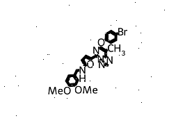 COc1ccc(CNc2ccc(-c3nc(Oc4ccc(Br)cc4)c(C)c4ncnn34)o2)cc1OC